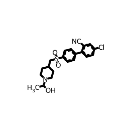 CC(O)N1CCC(CS(=O)(=O)c2ccc(-c3ccc(Cl)cc3C#N)cc2)CC1